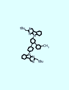 Cc1cccc(-c2cc(-n3c4ccccc4c4cnc(CC(C)(C)C)nc43)ccc2-c2ccc(-n3c4ccccc4c4cnc(CC(C)(C)C)nc43)cc2)c1